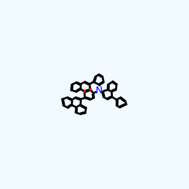 c1ccc(-c2ccc(N(c3ccc(-c4cc5ccccc5c5ccccc45)cc3)c3ccccc3-c3ccc4ccccc4c3)c3ccccc23)cc1